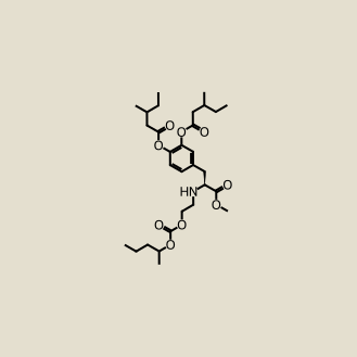 CCCC(C)OC(=O)OCCN[C@@H](Cc1ccc(OC(=O)CC(C)CC)c(OC(=O)CC(C)CC)c1)C(=O)OC